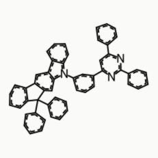 c1ccc(-c2cc(-c3cccc(-n4c5ccccc5c5cc6c(cc54)C(c4ccccc4)(c4ccccc4)c4ccccc4-6)c3)nc(-c3ccccc3)n2)cc1